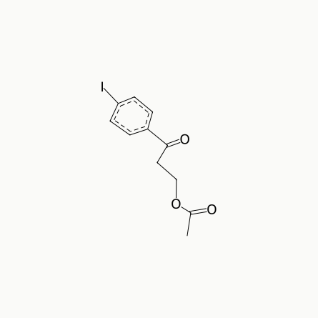 CC(=O)OCCC(=O)c1ccc(I)cc1